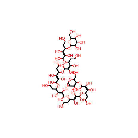 OCCC(OC(O)/C(O)=C(\O)C(CCO)OC(O)/C(O)=C(\O)C(CCO)OC(O)/C(O)=C(\O)C(CCO)OC(O)/C(O)=C(/O)C(CCO)OC(O)/C(O)=C(\O)C(CCO)OC1OC(CO)C(O)C(O)C1O)/C(O)=C(/O)C(O)OC1C(CO)OC2OC2C1O